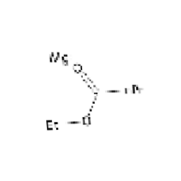 CCCC(=O)OCC.[Mg]